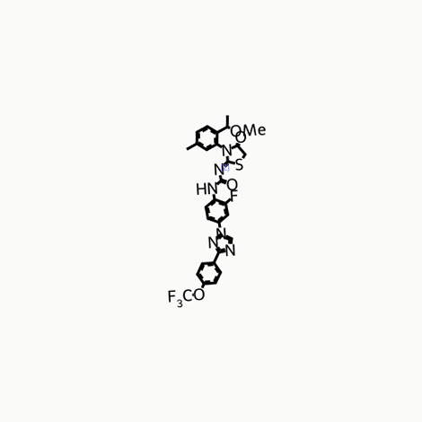 COC(C)c1ccc(C)cc1N1C(=O)CS/C1=N\C(=O)Nc1ccc(-n2cnc(-c3ccc(OC(F)(F)F)cc3)n2)cc1F